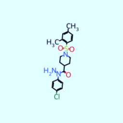 Cc1ccc(S(=O)(=O)N2CCC(C(=O)N(N)c3ccc(Cl)cc3)CC2)c(C)c1